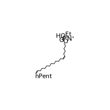 CCCCC/C=C\CCCCCCCCCC/C=C\CCCCCOP(=O)(O)C(CC)[N+](C)(C)C